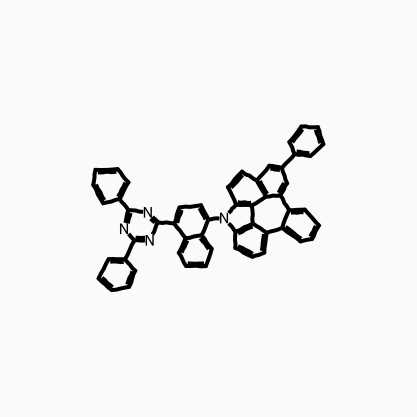 c1ccc(-c2cc3c4c(ccc5c4c4c(cccc4n5-c4ccc(-c5nc(-c6ccccc6)nc(-c6ccccc6)n5)c5ccccc45)-c4ccccc4-3)c2)cc1